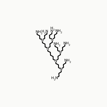 NCCCN(CCCN)CCCN(CCCCCN(CCCN(CCCN)CCCN)CCCN(CCCN)CCCN)CCCN(CCCN)CCCN